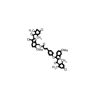 COc1ccc2c(Oc3ccc(/C=C/C(=O)OCc4c(OC)ccc5c(Cl)c(C(=O)c6c(C)cc(Cl)cc6C)sc45)cc3)c(C(=O)c3c(C)cc(Cl)cc3C)sc2c1